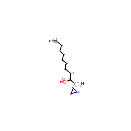 C1CN1.CCCCCCCCCCCCCCCCC(O)C(=O)O